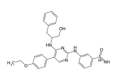 CCOc1ccc(-c2cnc(Nc3cccc([SH](=N)=O)c3)nc2NC(CO)Cc2ccccc2)cc1